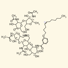 CCCCCC/C=C\CCCOc1cccc(C(=O)N[C@@H]2C(O[C@@H]3C(CO)O[C@@H](OC4C(CO)O[C@@H](O[C@@H]5C(CO)OC(OC6C(CO)OC(C)[C@@H](NC(C)=O)[C@H]6O)C(NC(C)=O)C5O)[C@@H](NC(C)=O)[C@H]4O)C(NC(C)=O)C3O)OC(CO)[C@@H](O)[C@@H]2O)c1